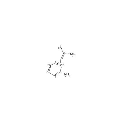 N.NC(=S)S.c1ccncc1